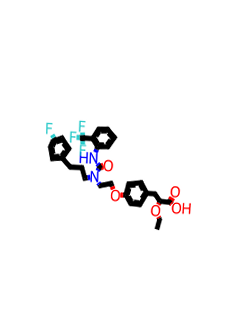 CCOC(Cc1ccc(OCCN(CCCc2ccc(F)cc2)C(=O)Nc2ccccc2C(F)(F)F)cc1)C(=O)O